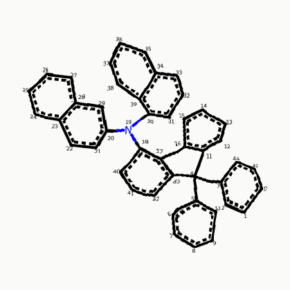 c1ccc(C2(c3ccccc3)c3ccccc3-c3c(N(c4ccc5ccccc5c4)c4cccc5ccccc45)cccc32)cc1